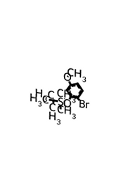 COc1ccc(Br)c(O[Si](C)(C)C(C)(C)C)c1